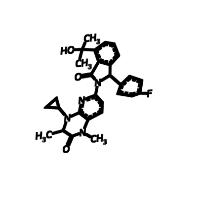 CC1C(=O)N(C)c2ccc(N3C(=O)c4c(cccc4C(C)(C)O)C3c3ccc(F)cc3)nc2N1C1CC1